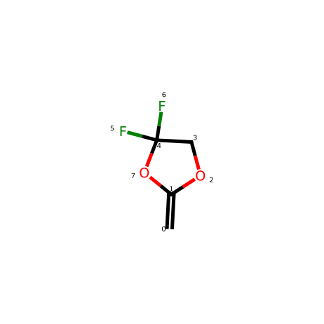 C=C1OCC(F)(F)O1